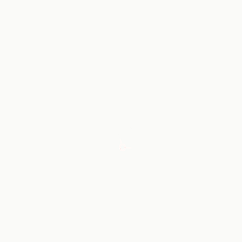 [CH2]c1occc1-c1ccccc1